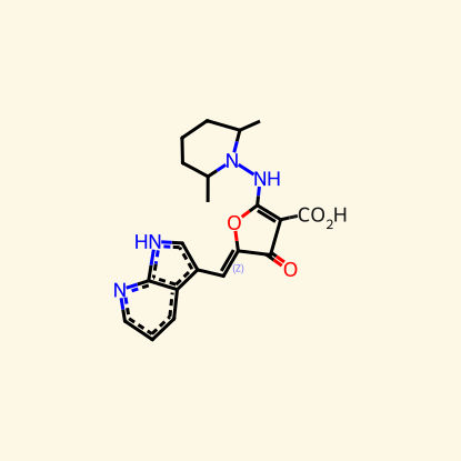 CC1CCCC(C)N1NC1=C(C(=O)O)C(=O)/C(=C/c2c[nH]c3ncccc23)O1